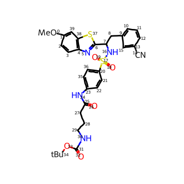 COc1ccc2nc(C(Cc3cccc(C#N)c3)NS(=O)(=O)c3ccc(NC(=O)CCCNC(=O)OC(C)(C)C)cc3)sc2c1